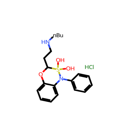 CCCCNCCC1Oc2ccccc2N(c2ccccc2)S1(O)O.Cl